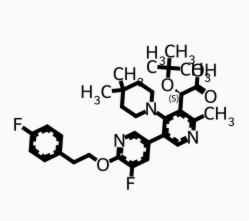 Cc1ncc(-c2cnc(OCCc3ccc(F)cc3)c(F)c2)c(N2CCC(C)(C)CC2)c1[C@H](OC(C)(C)C)C(=O)O